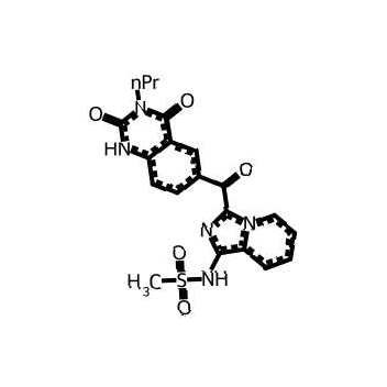 CCCn1c(=O)[nH]c2ccc(C(=O)c3nc(NS(C)(=O)=O)c4ccccn34)cc2c1=O